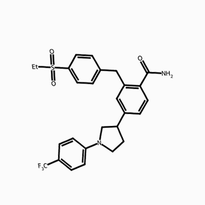 CCS(=O)(=O)c1ccc(Cc2cc(C3CCN(c4ccc(C(F)(F)F)cc4)C3)ccc2C(N)=O)cc1